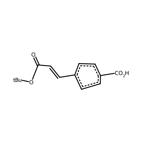 CC(C)(C)OC(=O)C=Cc1ccc(C(=O)O)cc1